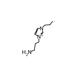 [CH2]CCn1cc[n+](CCCN)c1